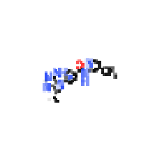 C=C(C)c1cn(-c2ccc(C(=O)Nc3cc(C(F)(F)F)ccn3)cc2)c2c(N)ncnc12